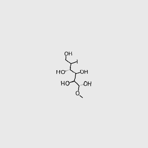 CO[C@@H](O)C(O)C(O)[C@H](O)C(I)CO